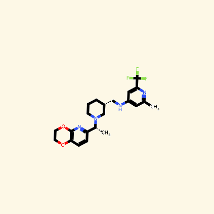 Cc1cc(NC[C@H]2CCCN([C@H](C)c3ccc4c(n3)OCCO4)C2)cc(C(F)(F)F)n1